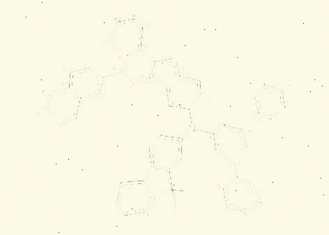 CC1(C)c2ccccc2-c2ccc(N(c3cc(-c4ccccc4)cc(-c4ccccc4)c3)c3ccc4oc5c6ccccc6c(-c6ccc7ccccc7c6)cc5c4c3)cc21